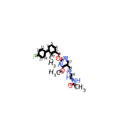 COc1nc(OCc2cccc(-c3ccc(F)cc3)c2C)ncc1CNCCNC(C)=O